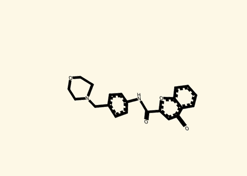 O=C(Nc1ccc(CN2CCOCC2)cc1)c1cc(=O)c2ccccc2o1